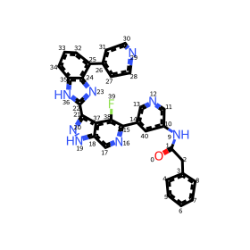 O=C(Cc1ccccc1)Nc1cncc(-c2ncc3[nH]nc(-c4nc5c(-c6ccncc6)cccc5[nH]4)c3c2F)c1